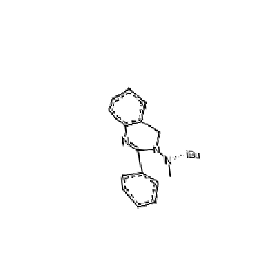 CC[C@@H](C)N(C)N1Cc2ccccc2N=C1c1ccccc1